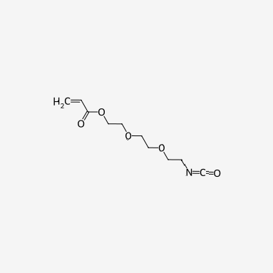 C=CC(=O)OCCOCCOCCN=C=O